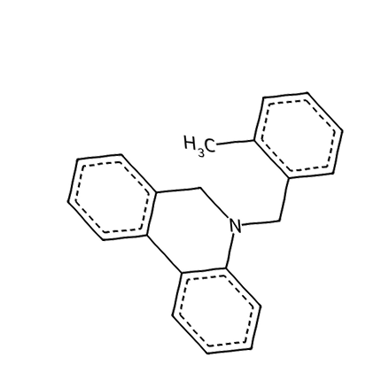 Cc1ccccc1CN1Cc2ccccc2-c2ccccc21